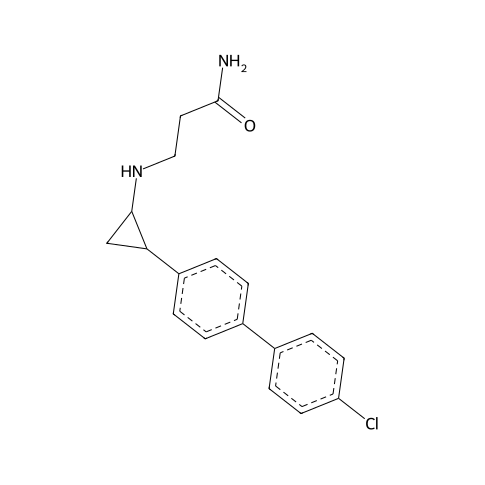 NC(=O)CCNC1CC1c1ccc(-c2ccc(Cl)cc2)cc1